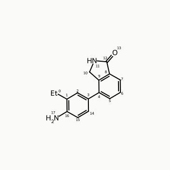 CCc1cc(-c2cccc3c2CNC3=O)ccc1N